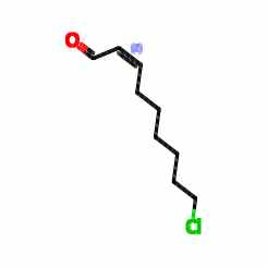 O=C/C=C\CCCCCCCl